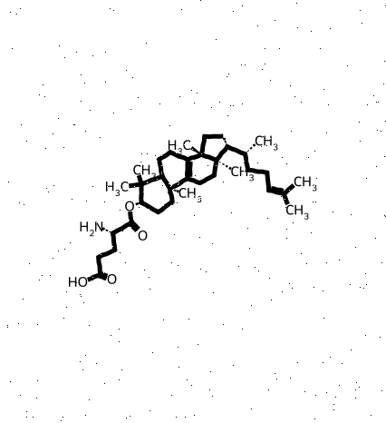 CC(C)=CCC[C@@H](C)[C@H]1CC[C@@]2(C)C3=C(CC[C@]12C)[C@@]1(C)CC[C@H](OC(=O)[C@@H](N)CCC(=O)O)C(C)(C)C1CC3